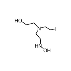 OCCN(CCI)CCNO